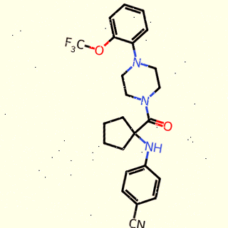 N#Cc1ccc(NC2(C(=O)N3CCN(c4ccccc4OC(F)(F)F)CC3)CCCC2)cc1